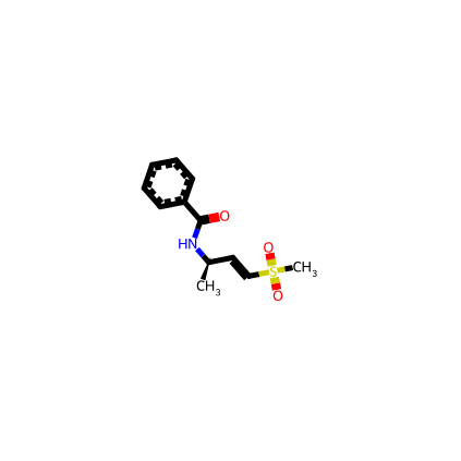 C[C@H](/C=C/S(C)(=O)=O)NC(=O)c1ccccc1